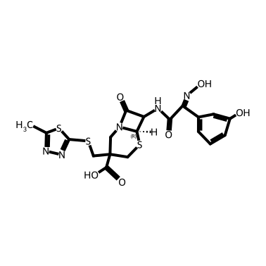 Cc1nnc(SCC2(C(=O)O)CS[C@@H]3C(NC(=O)C(=NO)c4cccc(O)c4)C(=O)N3C2)s1